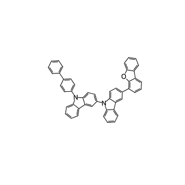 c1ccc(-c2ccc(-n3c4ccccc4c4cc(-n5c6ccccc6c6cc(-c7cccc8c7oc7ccccc78)ccc65)ccc43)cc2)cc1